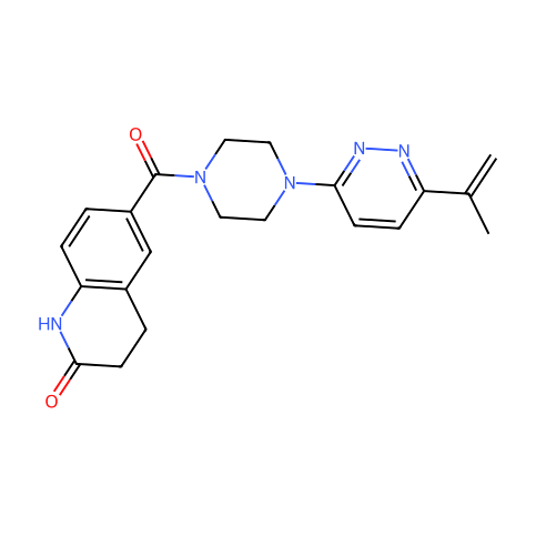 C=C(C)c1ccc(N2CCN(C(=O)c3ccc4c(c3)CCC(=O)N4)CC2)nn1